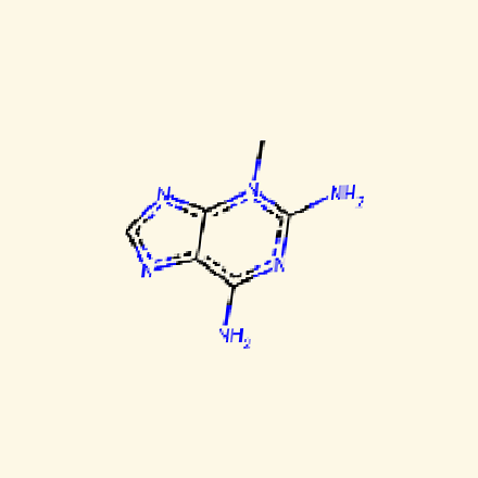 Cn1c(N)nc(N)c2ncnc1-2